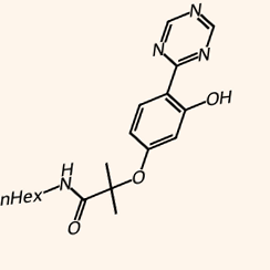 CCCCCCNC(=O)C(C)(C)Oc1ccc(-c2ncncn2)c(O)c1